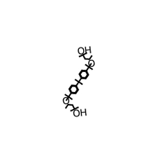 CC(CC(C)(C)O)OC(C)(C)c1ccc(C(C)(C)c2ccc(C(C)(C)OC(C)CC(C)(C)O)cc2)cc1